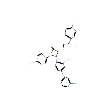 O=C1[C@H](CC[C@H](O)c2ccc(F)cc2)[C@@H](c2ccc(-c3cccc(F)c3)cc2O)N1c1ccc(F)cc1